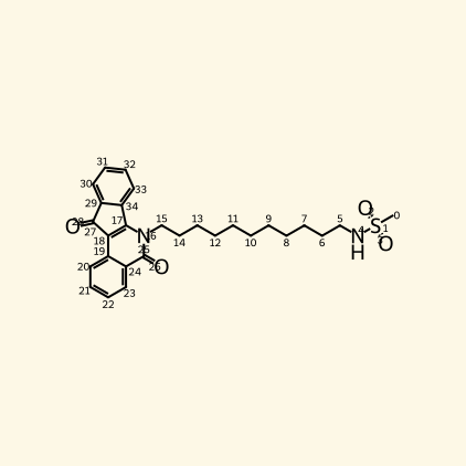 CS(=O)(=O)NCCCCCCCCCCCn1c2c(c3ccccc3c1=O)C(=O)c1ccccc1-2